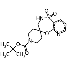 CC(C)(C)OC(=O)N1CCC2(CC1)CNS(=O)(=O)c1cccnc1O2